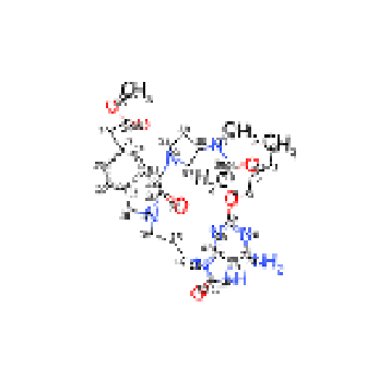 CCCCOc1nc(N)c2[nH]c(=O)n(CCCN(Cc3ccc(CC(=O)OC)cc3)C(=O)CN3CCC(N(C)C(C)=O)C3)c2n1